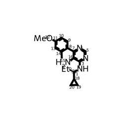 CC[C@@H](Nc1ncnc(-c2ccc(OC)cc2C)c1N)C1CC1